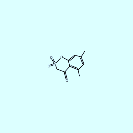 Cc1cc(C)c2c(c1)OS(=O)(=O)CC2=O